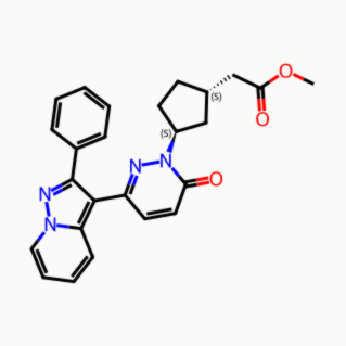 COC(=O)C[C@H]1CC[C@H](n2nc(-c3c(-c4ccccc4)nn4ccccc34)ccc2=O)C1